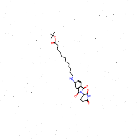 CC(C)(C)OC(=O)CCCCCCCCCCCNc1ccc2c(c1)C(=O)N(C1CCC(=O)NC1=O)C2=O